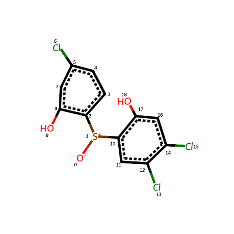 [O-][S+](c1ccc(Cl)cc1O)c1cc(Cl)c(Cl)cc1O